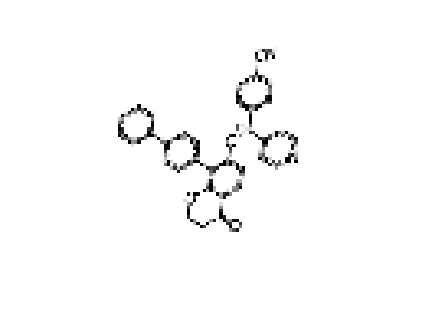 N#Cc1ccc([C@@H](Oc2ccc3c(c2-c2ccc(-c4ccccc4)cc2)OCCC3=O)c2ccncc2)cc1